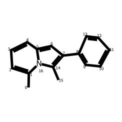 Cc1cccc2cc(-c3ccccc3)c(C)n12